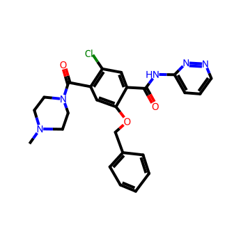 CN1CCN(C(=O)c2cc(OCc3ccccc3)c(C(=O)Nc3cccnn3)cc2Cl)CC1